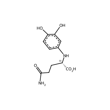 NC(=O)CC[C@H](Nc1ccc(O)c(O)c1)C(=O)O